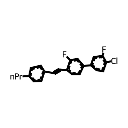 CCCc1ccc(C#Cc2ccc(-c3ccc(Cl)c(F)c3)cc2F)cc1